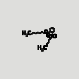 CCCCCCCCOC(=O)c1ccccc1C(=O)OCCCCCC